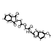 COc1ccc2nc(NC(=O)COC(=O)CN3C(=O)c4ccccc4C3=O)sc2c1